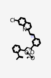 C=C(C)c1ccccc1CC[C@H](OS(C)(=O)=O)c1cccc(/C=C/c2ccc3ccc(Cl)cc3n2)c1